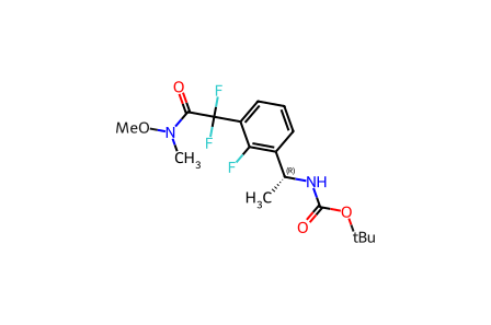 CON(C)C(=O)C(F)(F)c1cccc([C@@H](C)NC(=O)OC(C)(C)C)c1F